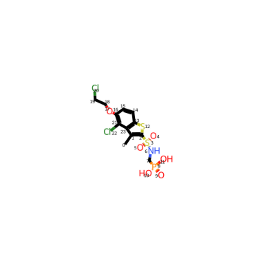 Cc1c(S(=O)(=O)NCP(=O)(O)O)sc2ccc(OCCCl)c(Cl)c12